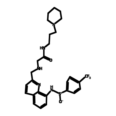 O=C(CNCc1ccc2cccc(N[S+]([O-])c3ccc(C(F)(F)F)cc3)c2n1)NCCCN1CCCCC1